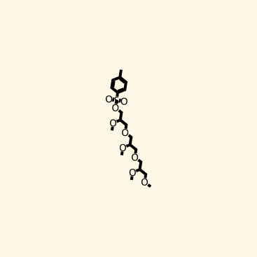 COCC(COCC(COCC(COS(=O)(=O)c1ccc(C)cc1)OC)OC)OC